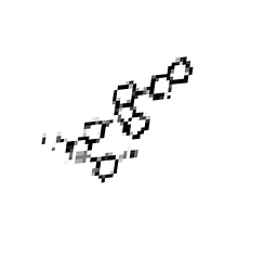 NC(=O)c1ccc(-n2c3ccccc3c3c(-c4cnc5ccccc5c4)cccc32)cc1NC1CCCC(O)C1